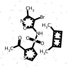 CC(=O)c1sccc1S(=O)(=O)Nc1onc(C)c1Br.Cc1cc2cc(C)c1-2